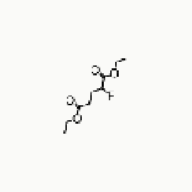 CCOC(=O)CCC(F)C(=O)OCC